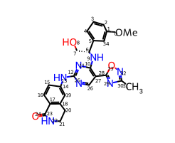 COc1cccc([C@@H](CO)Nc2nc(Nc3ccc4c(c3)CCNC4=O)ncc2-c2nc(C)no2)c1